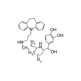 CCC(NC(C)C)C(O)c1ccc(O)c(O)c1.CNCCCN1c2ccccc2CCc2ccccc21